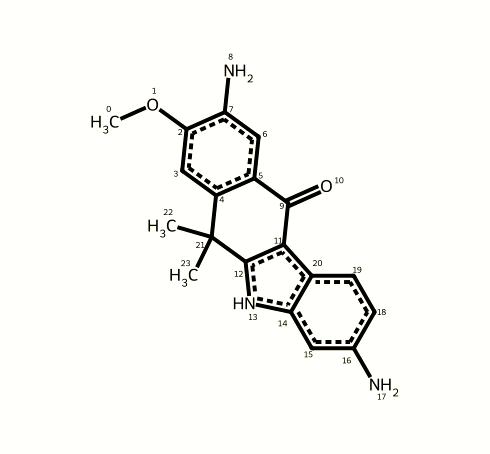 COc1cc2c(cc1N)C(=O)c1c([nH]c3cc(N)ccc13)C2(C)C